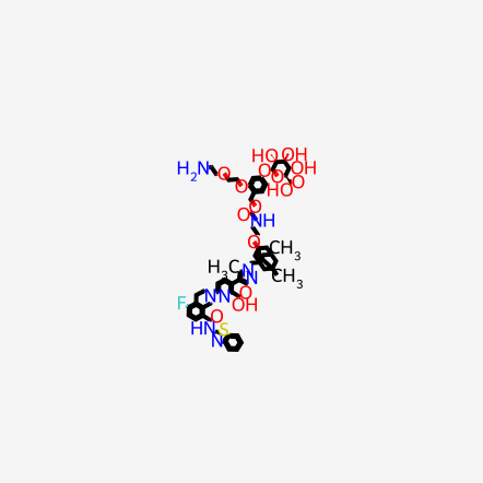 Cc1c(-c2ccc(N3CCc4c(F)ccc(C(=O)Nc5nc6ccccc6s5)c4C3)nc2C(=O)O)cnn1CC12CC3(C)CC(C)(C1)CC(OCCNC(=O)OCc1ccc(O[C@@H]4O[C@H](C(=O)O)[C@@H](O)[C@H](O)[C@H]4O)cc1OCCOCCN)(C3)C2